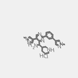 Cl.Cn1cc(-c2cccc(-c3ncc(-c4cnn(C)c4)c(C(N)C4CCCNC4)n3)c2)cn1